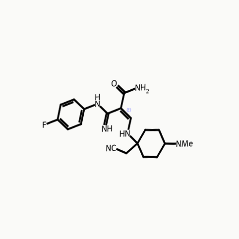 CNC1CCC(CC#N)(N/C=C(\C(=N)Nc2ccc(F)cc2)C(N)=O)CC1